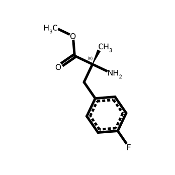 COC(=O)[C@](C)(N)Cc1ccc(F)cc1